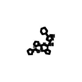 O=C([C@@H]1CCCN1c1nc2c(c(Nc3cc(C4CCCCC4)[nH]n3)n1)CCC2)N1CCCC1